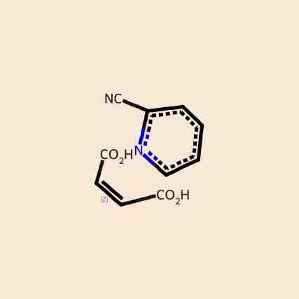 N#Cc1ccccn1.O=C(O)/C=C\C(=O)O